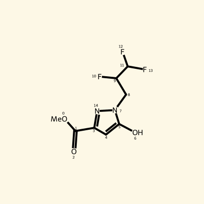 COC(=O)c1cc(O)n(CC(F)C(F)F)n1